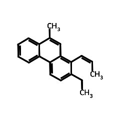 C/C=C\c1c(CC)ccc2c1cc(C)c1ccccc12